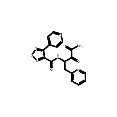 NC(=O)C(=O)C(Cc1ccccn1)NC(=O)c1nsnc1-c1ccncc1